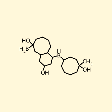 BC1(O)CCCCC2C(BC3CCCCC(C)(O)CC3)CC(O)CC2C1